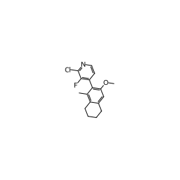 COc1cc2c(c(C)c1-c1ccnc(Cl)c1F)CCCC2